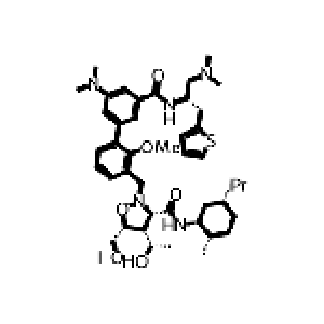 COc1c(CN2O[C@@H](CO)[C@@H]([C@H](C)O)[C@H]2C(=O)N[C@H]2C[C@H](C(C)C)CC[C@@H]2C)cccc1-c1cc(C(=O)N[C@@H](Cc2cccs2)CN(C)C)cc(N(C)C)c1